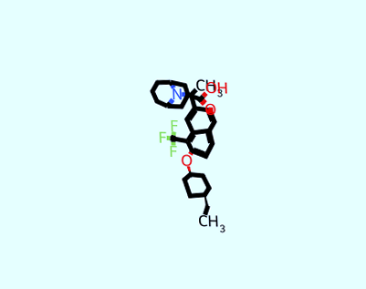 CC[C@H]1CC[C@@H](Oc2ccc3ccc(C(C)N4C5CCCC4CC(C(=O)O)C5)cc3c2C(F)(F)F)CC1